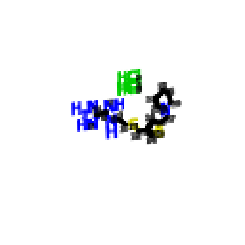 Cl.Cl.Cl.N=C(N)C(=N)NCCSCc1csc(CN2CCCCC2)c1